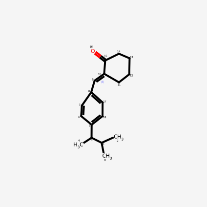 CC(C)C(C)c1ccc(/C=C2\CCCCC2=O)cc1